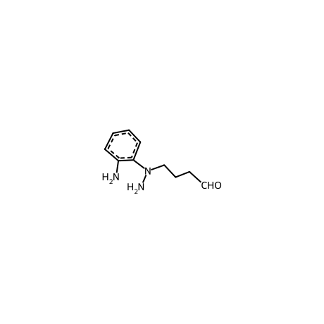 Nc1ccccc1N(N)CCCC=O